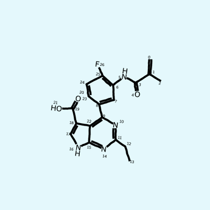 C=C(C)C(=O)Nc1cc(-c2nc(CC)nc3[nH]cc(C(=O)O)c23)ccc1F